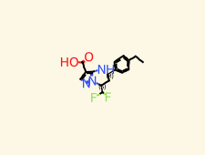 CCc1ccc([C@H]2C[C@@H](C(F)F)n3ncc(C(=O)O)c3N2)cc1